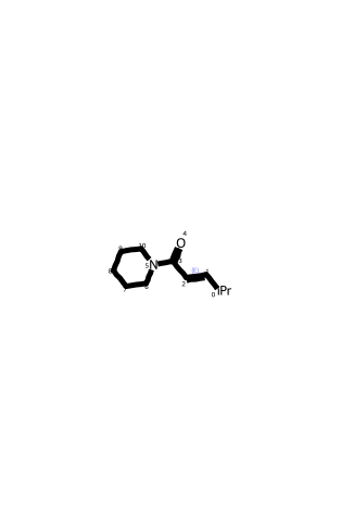 CC(C)/C=C/C(=O)N1CCCCC1